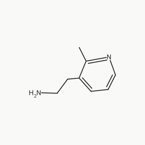 Cc1ncccc1CCN